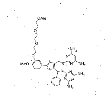 COCCOCCOCCOc1cc(-c2nc(CSc3nc(N)cc(N)n3)c(C(Sc3nc(N)cc(N)n3)c3ccccc3)s2)ccc1OC